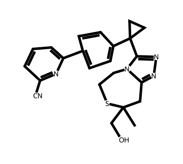 CC1(CO)Cc2nnc(C3(c4ccc(-c5cccc(C#N)n5)cc4)CC3)n2CCS1